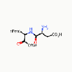 CCCCCC(NC(=O)C(N)CC(=O)O)C(=O)OC